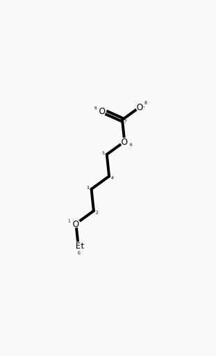 CCOCCCCOC([O])=O